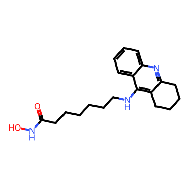 O=C(CCCCCCNc1c2c(nc3ccccc13)CCCC2)NO